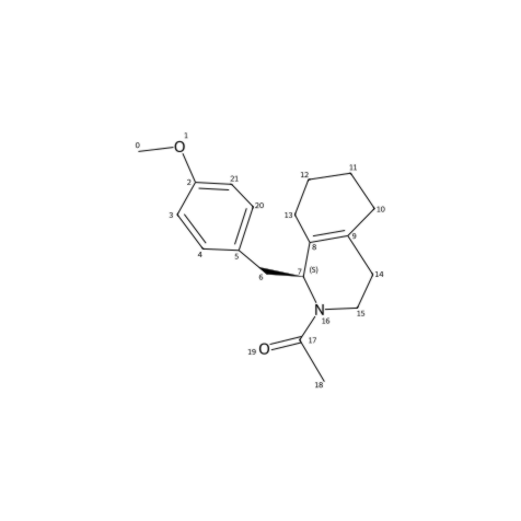 COc1ccc(C[C@H]2C3=C(CCCC3)CCN2C(C)=O)cc1